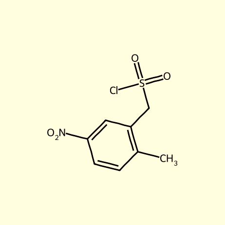 Cc1ccc([N+](=O)[O-])cc1CS(=O)(=O)Cl